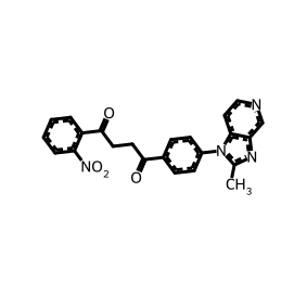 Cc1nc2cnccc2n1-c1ccc(C(=O)CCC(=O)c2ccccc2[N+](=O)[O-])cc1